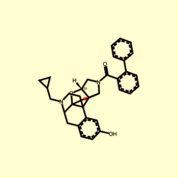 O=C(c1ccccc1-c1ccccc1)N1C[C@H]2OC34CCC1C2C31CCN(CC2CC2)C4Cc2ccc(O)cc21